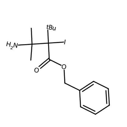 CC(C)(C)C(I)(C(=O)OCc1ccccc1)C(C)(C)N